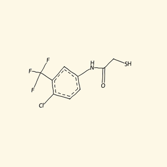 O=C(CS)Nc1ccc(Cl)c(C(F)(F)F)c1